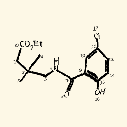 CCOC(=O)CC(C)(C)CNC(=O)c1cc(Cl)ccc1O